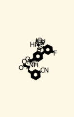 COC(=O)[C@H](Cc1cccc(C#N)c1)NC(=O)c1ccc(-c2cc(F)ccc2S(=O)(=O)NC(C)(C)C)cc1